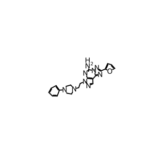 Nc1nc2c(cnn2CCN2CCN(c3ccccc3)CC2)c2nc(-c3ccco3)nn12